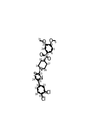 COc1ccc(S(=O)(=O)C2CCN(c3nc(-c4ccc(Cl)c(Cl)c4)cs3)CC2)cc1OC